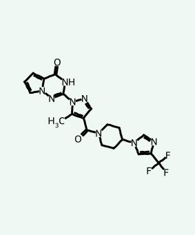 Cc1c(C(=O)N2CCC(n3cnc(C(F)(F)F)c3)CC2)cnn1-c1nn2cccc2c(=O)[nH]1